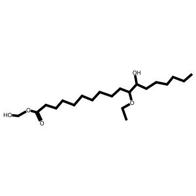 CCCCCCC(O)C(CCCCCCCCCC(=O)OCO)OCC